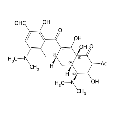 CC(=O)C1C(=O)[C@@]2(O)C(O)=C3C(=O)c4c(O)c(C=O)cc(N(C)C)c4C[C@H]3C[C@H]2[C@H](N(C)C)C1O